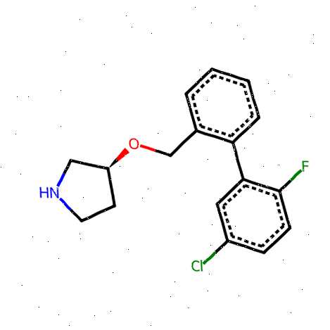 Fc1ccc(Cl)cc1-c1ccccc1CO[C@H]1CCNC1